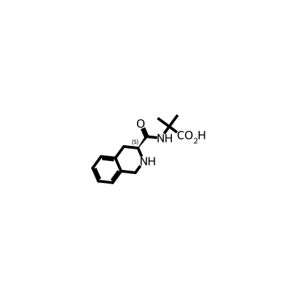 CC(C)(NC(=O)[C@@H]1Cc2ccccc2CN1)C(=O)O